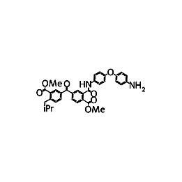 COC(=O)c1cc(C(=O)c2ccc(C(=O)OC)c(C(=O)Nc3ccc(Oc4ccc(N)cc4)cc3)c2)ccc1CC(C)C